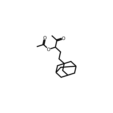 CC(=O)OC(CCC12CC3CC(CC(C3)C1)C2)C(C)=O